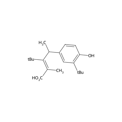 CC(C(=O)O)=C(C(C)c1ccc(O)c(C(C)(C)C)c1)C(C)(C)C